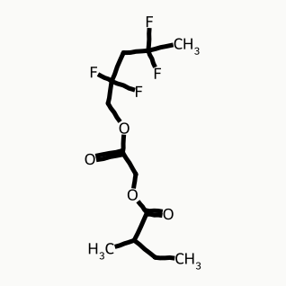 CCC(C)C(=O)OCC(=O)OCC(F)(F)CC(C)(F)F